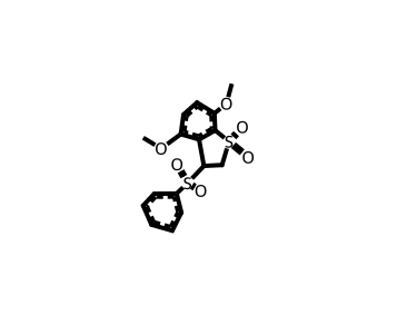 COc1ccc(OC)c2c1C(S(=O)(=O)c1ccccc1)CS2(=O)=O